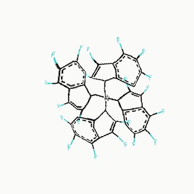 FC1=C(F)[CH]([Al-]([CH]2C(F)=C(F)c3c2cc(F)c(F)c3F)([CH]2C(F)=C(F)c3c2cc(F)c(F)c3F)[CH]2C(F)=C(F)c3c2cc(F)c(F)c3F)c2cc(F)c(F)c(F)c21